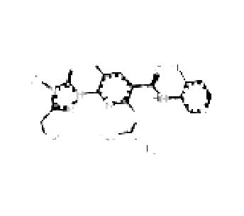 CCn1c(CO)nn(-c2nc(O[C@@H](C)C(F)(F)F)c(C(=O)Nc3cnccc3Cl)cc2F)c1=O